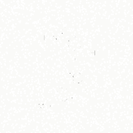 COc1ccc(-c2nc(C(CO)Oc3ccc(F)c(C(N)=O)c3F)oc2Br)nc1